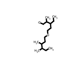 CCC(C)C(C)CCOCCC(CC)C(C)C[O]